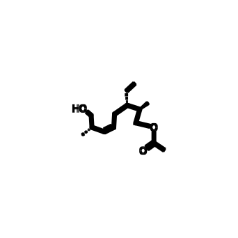 CC[C@@H](C/C=C\[C@H](C)CO)[C@@H](C)COC(C)=O